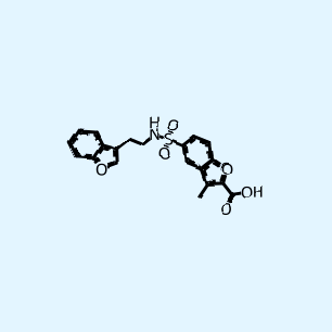 Cc1c(C(=O)O)oc2ccc(S(=O)(=O)NCCc3coc4ccccc34)cc12